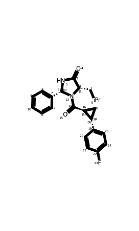 CC(C)C[C@H]1C(=O)N[C@@H](c2ccccc2)N1C(=O)[C@H]1C[C@@H]1c1ccc(F)cc1